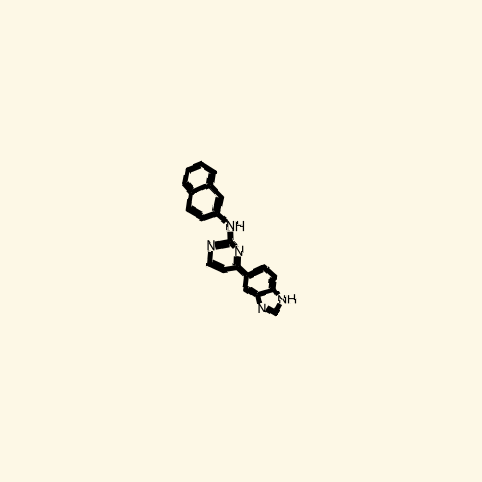 c1ccc2cc(Nc3nccc(-c4ccc5[nH]cnc5c4)n3)ccc2c1